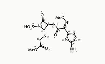 CO/N=C(\C(=O)N[C@@H]1C(=O)N(S(=O)(=O)O)[C@H]1SCC(=O)OC)c1csc(N)n1